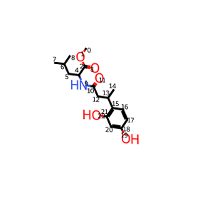 COC(=O)C(CC(C)C)NC(=O)CC(C)c1ccc(O)cc1O